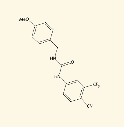 COc1ccc(CNC(=O)Nc2ccc(C#N)c(C(F)(F)F)c2)cc1